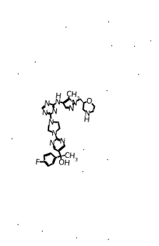 Cc1c(Nc2ncnc(N3CCN(c4ncc([C@](C)(O)c5ccc(F)cc5)cn4)CC3)n2)cnn1C[C@@H]1CNCCO1